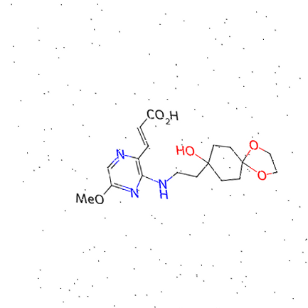 COc1cnc(/C=C/C(=O)O)c(NCCC2(O)CCC3(CC2)OCCO3)n1